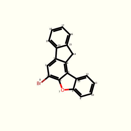 Brc1cc2c(c3c1oc1ccccc13)Cc1ccccc1-2